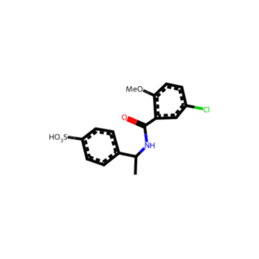 COc1ccc(Cl)cc1C(=O)NC(C)c1ccc(S(=O)(=O)O)cc1